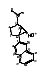 CN(C)C1CCC2(c3ccc4ccccc4c3)CC12.Cl